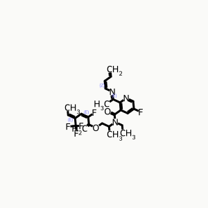 C=C/C=C\N=C(/C)c1ncc(F)cc1C(=O)N(CC)C(C)COC(=C)/C(F)=C\C(=C/C)C(F)(F)F